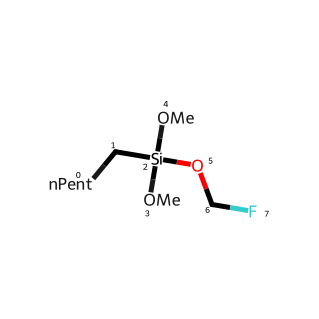 CCCCCC[Si](OC)(OC)OCF